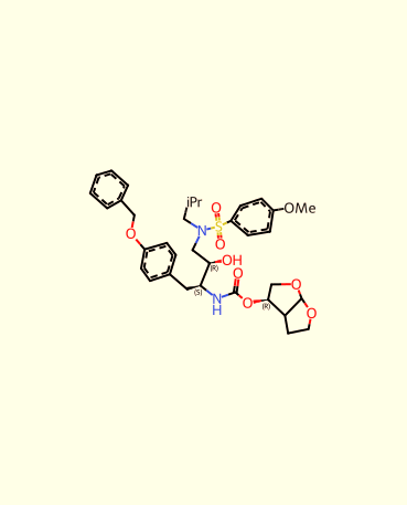 COc1ccc(S(=O)(=O)N(CC(C)C)C[C@@H](O)[C@H](Cc2ccc(OCc3ccccc3)cc2)NC(=O)O[C@H]2COC3OCCC32)cc1